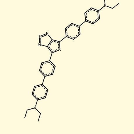 CCN(CC)c1ccc(-c2ccc(-c3sc(-c4ccc(-c5ccc(N(CC)CC)cc5)cc4)c4c3N=S=N4)cc2)cc1